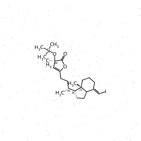 C[C@H](CCC1=C[C@@](C)(O[Si](C)(C)C)C(=O)O1)[C@H]1CCC2C(=CI)CCC[C@]21C